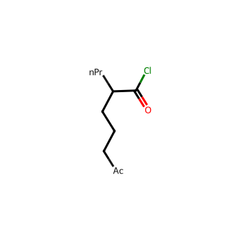 CCCC(CCCC(C)=O)C(=O)Cl